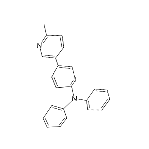 Cc1ccc(-c2ccc(N(c3ccccc3)c3ccccc3)cc2)cn1